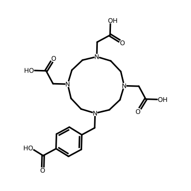 O=C(O)CN1CCN(CC(=O)O)CCN(Cc2ccc(C(=O)O)cc2)CCN(CC(=O)O)CC1